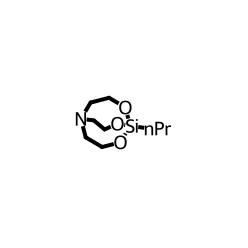 CCC[Si]12OCCN(CCO1)CCO2